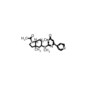 CC(=O)N1CC[C@@]2(C)CC(N(C)c3nc(-c4ccncc4)cc(=O)n3C)CC[C@@H]12